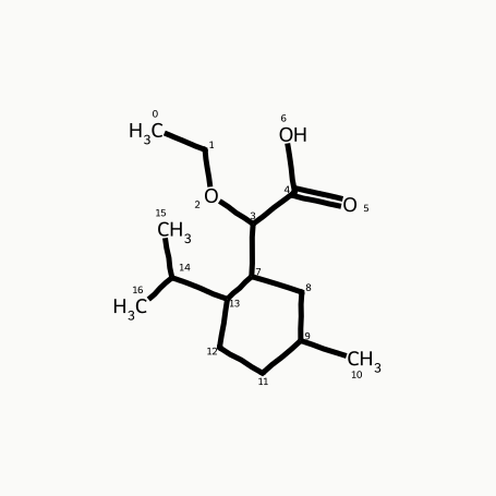 CCOC(C(=O)O)C1CC(C)CCC1C(C)C